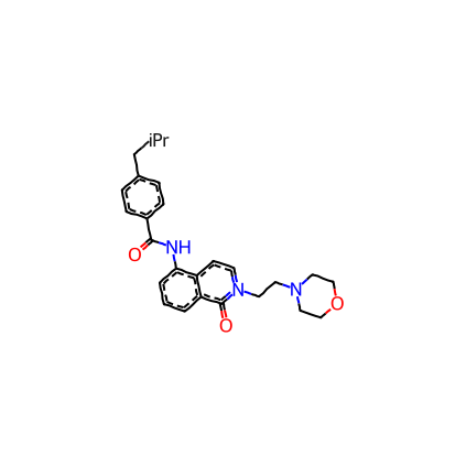 CC(C)Cc1ccc(C(=O)Nc2cccc3c(=O)n(CCN4CCOCC4)ccc23)cc1